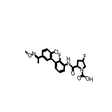 CO/N=C(\C)c1ccc(Cl)c(-c2cccc(NC(=O)C3CC(F)CN3C(=O)O)c2F)c1